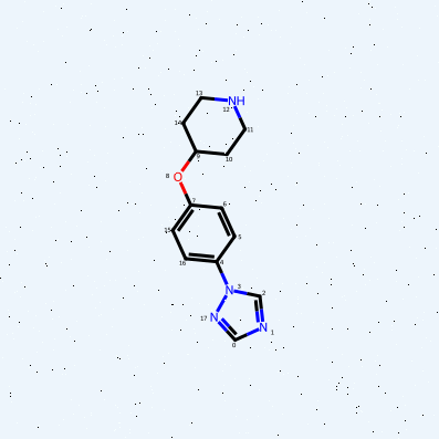 c1ncn(-c2ccc(OC3CCNCC3)cc2)n1